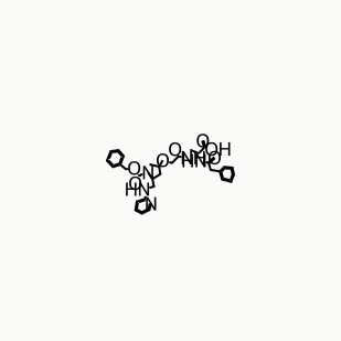 O=C(COC1CC(CNc2ccccn2)N(C(=O)OCc2ccccc2)C1)NCC(NC(=O)Cc1ccccc1)C(=O)O